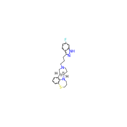 Fc1ccc2c(CCCN3CC[C@@H]4[C@H](C3)c3cccc5c3N4CCCS5)n[nH]c2c1